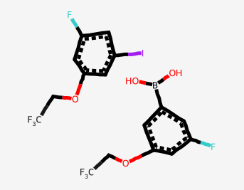 Fc1cc(I)cc(OCC(F)(F)F)c1.OB(O)c1cc(F)cc(OCC(F)(F)F)c1